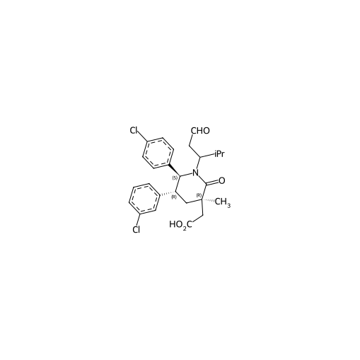 CC(C)C(CC=O)N1C(=O)[C@@](C)(CC(=O)O)C[C@H](c2cccc(Cl)c2)[C@H]1c1ccc(Cl)cc1